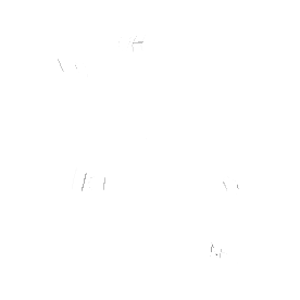 Cl.NCC(=O)c1ccc2cc(O)c(O)cc2c1